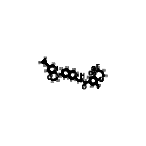 O=C(NCc1cc2cc(N3CCOc4cc(C5CC5)cnc43)ccc2cn1)c1cc(F)c2c(c1)S(=O)(=O)[C@@H](F)CCO2